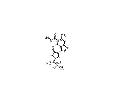 C[C@H]1Cn2ncc(N3CC(N(C)S(C)(=O)=O)CC3=O)c2CN1C(=O)OC(C)(C)C